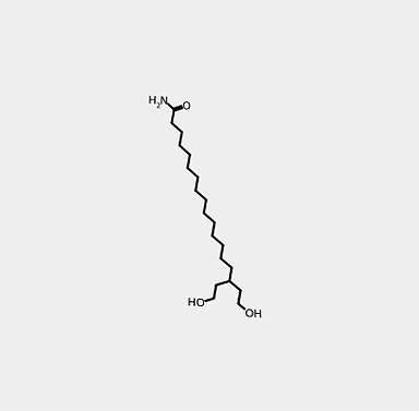 NC(=O)CCCCCCCCCCCCCCC(CCO)CCO